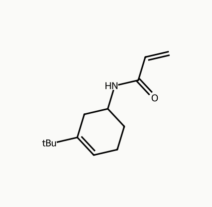 C=CC(=O)NC1CCC=C(C(C)(C)C)C1